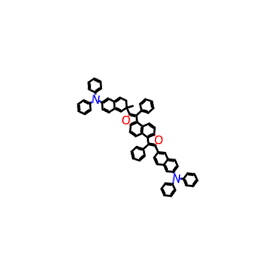 CC1(c2oc3ccc4c(ccc5oc(-c6ccc7cc(N(c8ccccc8)c8ccccc8)ccc7c6)c(-c6ccccc6)c54)c3c2-c2ccccc2)C=c2ccc(N(c3ccccc3)c3ccccc3)cc2=CC1